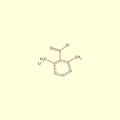 Cc1cccc(C)c1S(=O)[O-].[Li+]